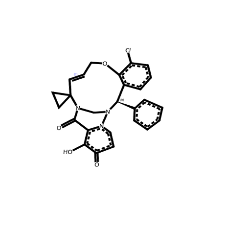 O=C1c2c(O)c(=O)ccn2N2CN1C1(/C=C/COc3c(Cl)cccc3[C@H]2c2ccccc2)CC1